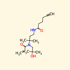 C#CCCCC(=O)NCCC(C)(C)N(CC(C)(C)O)C(=O)CC